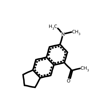 CC(=O)c1cc(N(C)C)cc2cc3c(cc12)CCC3